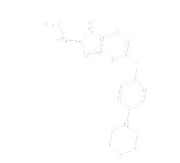 O=C(O)Nc1nc2cc(Sc3ccc(N4CCCCC4)cc3)ccc2[nH]1